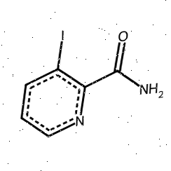 NC(=O)c1ncccc1I